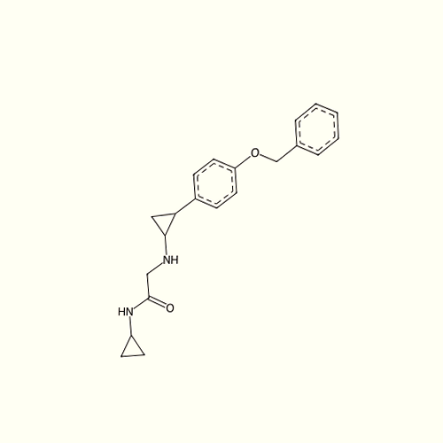 O=C(CNC1CC1c1ccc(OCc2ccccc2)cc1)NC1CC1